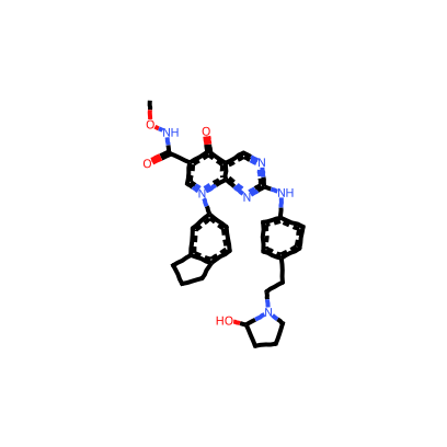 CONC(=O)c1cn(-c2ccc3c(c2)CCC3)c2nc(Nc3ccc(CCN4CCCC4O)cc3)ncc2c1=O